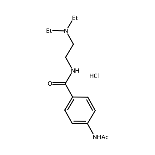 CCN(CC)CCNC(=O)c1ccc(NC(C)=O)cc1.Cl